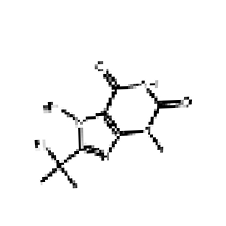 CCCn1c(C(C)(C)CC)nc2c1c(=O)[nH]c(=O)n2C